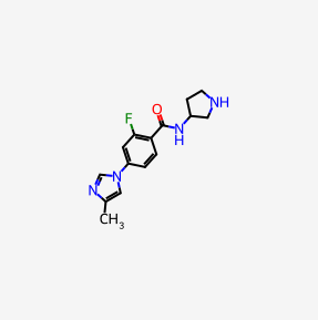 Cc1cn(-c2ccc(C(=O)NC3CCNC3)c(F)c2)cn1